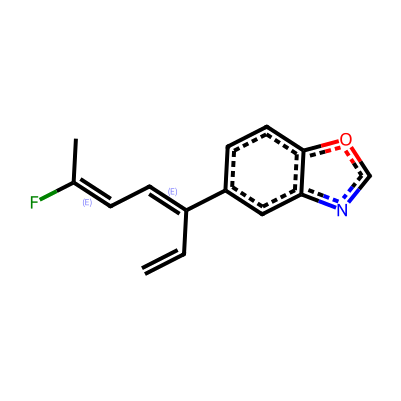 C=C/C(=C\C=C(/C)F)c1ccc2ocnc2c1